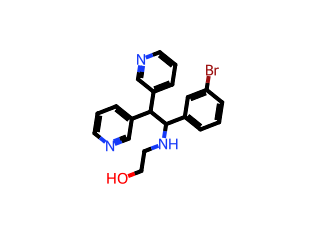 OCCNC(c1cccc(Br)c1)C(c1cccnc1)c1cccnc1